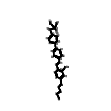 CCCCCc1ccc(CCc2ccc(-c3ccc(OC(F)(F)F)cc3)cc2)c(F)c1